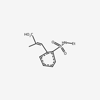 CCNS(=O)(=O)c1ccccc1/C=C(\C)C(=O)O